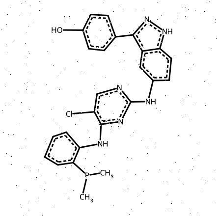 CP(C)c1ccccc1Nc1nc(Nc2ccc3[nH]nc(-c4ccc(O)cc4)c3c2)ncc1Cl